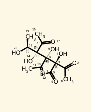 CC(=O)[C@](O)(C(=O)Br)[C@@](O)(C(C)=O)[C@](O)(C(C)=O)[C@H](C)O